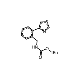 CC(C)(C)OC(=O)NCc1ccccc1-c1cscn1